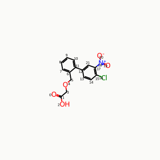 O=C(O)COCc1ccccc1-c1ccc(Cl)c([N+](=O)[O-])c1